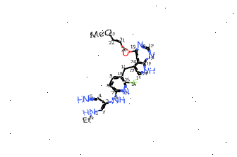 CCN/C=C(\C=N)Nc1ccc(Cc2c[nH]c3ncnc(OCCOC)c23)c(F)n1